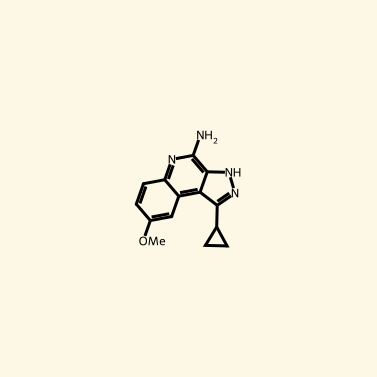 COc1ccc2nc(N)c3[nH]nc(C4CC4)c3c2c1